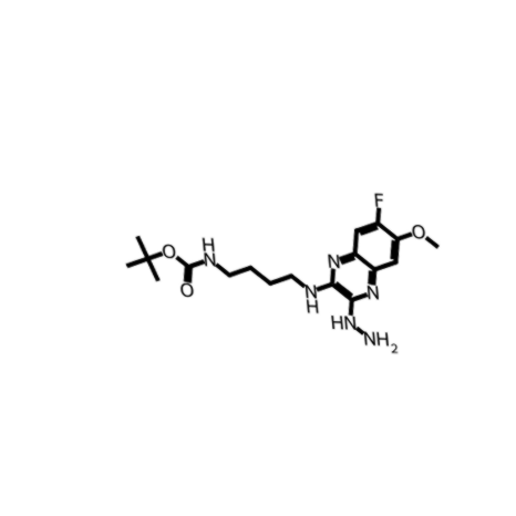 COc1cc2nc(NN)c(NCCCCNC(=O)OC(C)(C)C)nc2cc1F